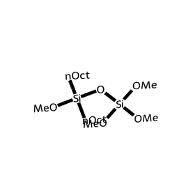 CCCCCCCC[Si](CCCCCCCC)(OC)O[Si](OC)(OC)OC